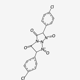 O=C1C(c2ccc(Cl)cc2)[N+](=O)N2N1C(=O)C(c1ccc(Cl)cc1)[N+]2=O